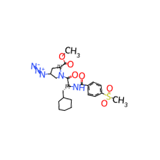 COC(=O)[C@@H]1CC(N=[N+]=[N-])CN1C(=O)[C@@H](CC1CCCCC1)NC(=O)c1ccc(S(C)(=O)=O)cc1